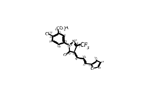 O=C(O)c1cc(N2N=C(C(F)(F)F)/C(=C\C=C\c3ccco3)C2=O)ccc1Cl